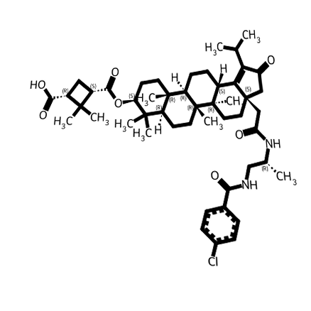 CC(C)C1=C2[C@H]3CC[C@@H]4[C@@]5(C)CC[C@H](OC(=O)[C@H]6C[C@@H](C(=O)O)C6(C)C)C(C)(C)[C@@H]5CC[C@@]4(C)[C@]3(C)CC[C@@]2(CC(=O)N[C@H](C)CNC(=O)c2ccc(Cl)cc2)CC1=O